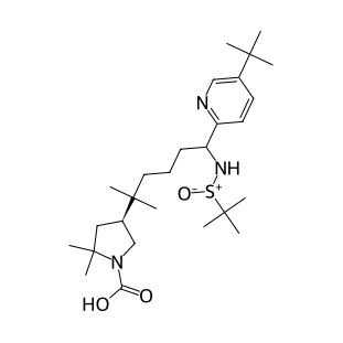 CC(C)(C)c1ccc(C(CCCC(C)(C)[C@H]2CN(C(=O)O)C(C)(C)C2)N[S+]([O-])C(C)(C)C)nc1